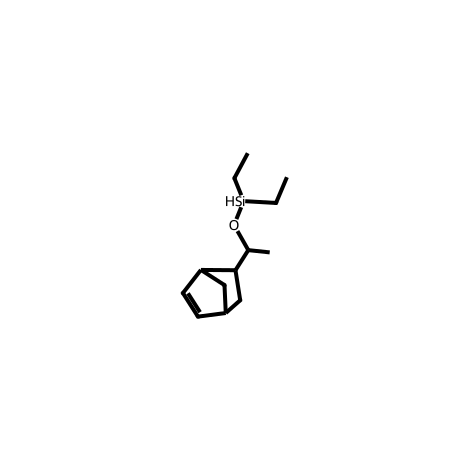 CC[SiH](CC)OC(C)C1CC2C=CC1C2